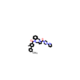 COc1cccc(-c2ccc(C(=O)N3Cc4ccc(C(=O)N5CCN(c6ccccn6)CC5)n4Cc4ccccc43)cc2C)c1